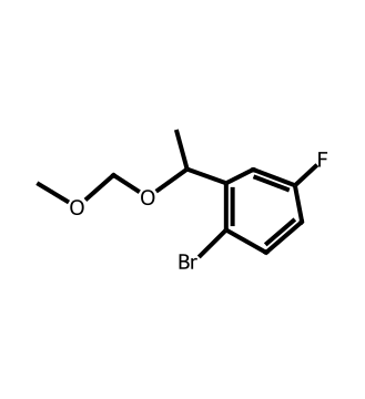 COCOC(C)c1cc(F)ccc1Br